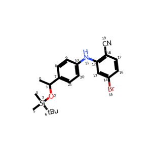 CC(O[Si](C)(C)C(C)(C)C)c1ccc(Nc2cc(Br)ccc2C#N)cc1